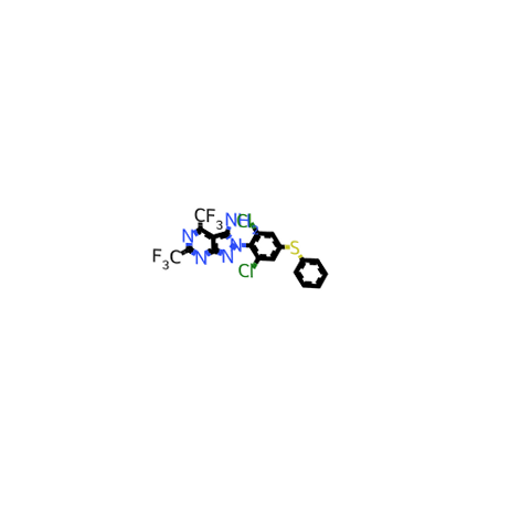 Nc1c2c(C(F)(F)F)nc(C(F)(F)F)nc2nn1-c1c(Cl)cc(Sc2ccccc2)cc1Cl